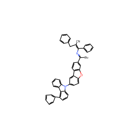 CCC(C)/C(=N\C(=C(\C#N)Cc1ccccc1)c1ccccc1)c1ccc2c(c1)oc1ccc(-n3c4ccccc4c4c(-c5ccccc5)cccc43)cc12